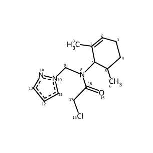 CC1=CCCC(C)C1N(Cn1cccn1)C(=O)CCl